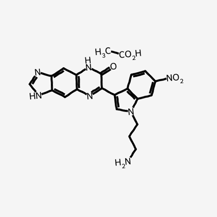 CC(=O)O.NCCCn1cc(-c2nc3cc4[nH]cnc4cc3[nH]c2=O)c2ccc([N+](=O)[O-])cc21